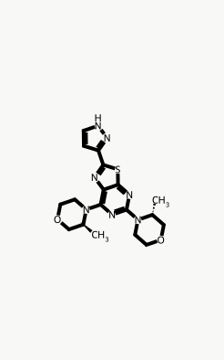 C[C@@H]1COCCN1c1nc(N2CCOC[C@@H]2C)c2nc(-c3cc[nH]n3)sc2n1